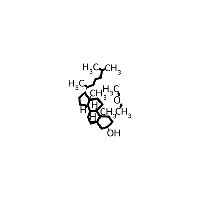 CC(C)CCCC(C)[C@H]1CC[C@H]2[C@@H]3CC=C4C[C@@H](O)CC[C@]4(C)[C@H]3CC[C@]12C.CCOCC